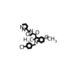 COc1ccc2c(c1)c(C(=O)c1coc(-c3cccnn3)n1)c(C)n2Cc1ccc(Cl)cc1